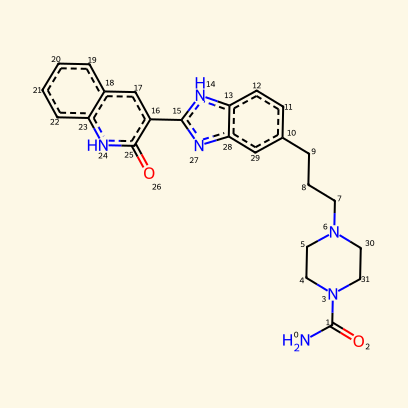 NC(=O)N1CCN(CCCc2ccc3[nH]c(-c4cc5ccccc5[nH]c4=O)nc3c2)CC1